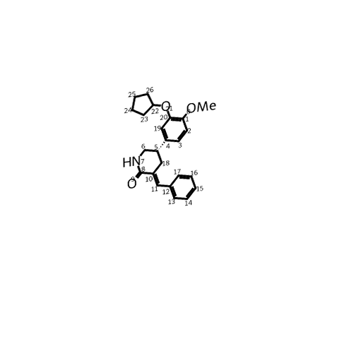 COc1ccc([C@H]2CNC(=O)/C(=C/c3ccccc3)C2)cc1OC1CCCC1